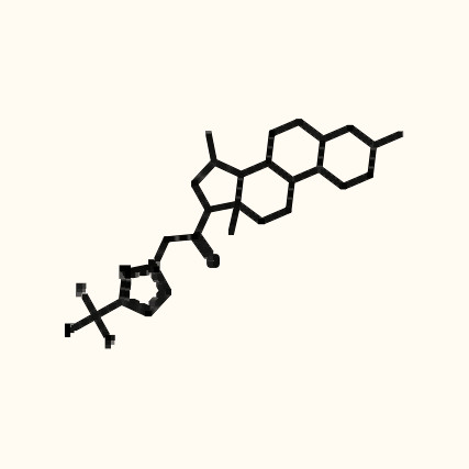 CC1CCC2C(CCC3C2CCC2(C)C(C(=O)Cn4ccc(C(F)(F)F)n4)CC(C)C32)C1